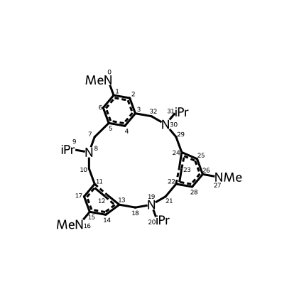 CNc1cc2cc(c1)CN(C(C)C)Cc1cc(cc(NC)c1)CN(C(C)C)Cc1cc(cc(NC)c1)CN(C(C)C)C2